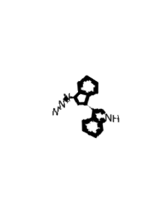 [N-]=[N+]=N[C@@H]1C[C@@H](c2c[nH]c3ccccc23)c2ccccc21